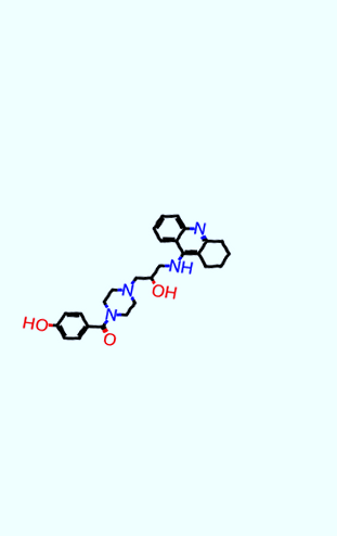 O=C(c1ccc(O)cc1)N1CCN(CC(O)CNc2c3c(nc4ccccc24)CCCC3)CC1